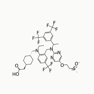 CCN(C[C@H]1CC[C@H](CC(=O)O)CC1)c1ccc(C(F)(F)F)cc1CN(c1ncc(OCC[S@@+](C)[O-])cn1)C(C)c1cc(C(F)(F)F)cc(C(F)(F)F)c1